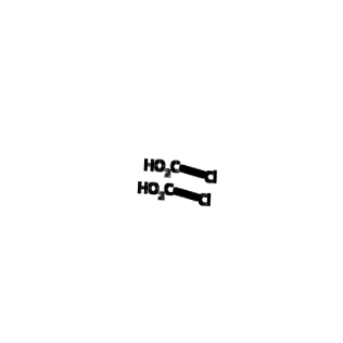 O=C(O)Cl.O=C(O)Cl